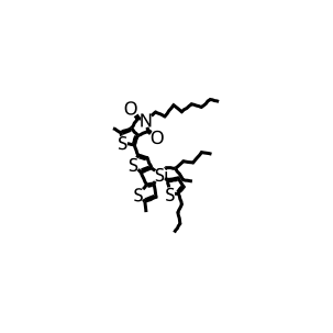 CCCCCCCCN1C(=O)c2c(C)sc(-c3cc4c(s3)-c3sc(C)cc3[Si]4(CC(CC)CCCC)c3ccc(CCCC)s3)c2C1=O